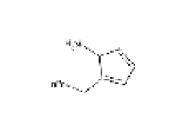 CCCCC1=CC=CC1[SiH3]